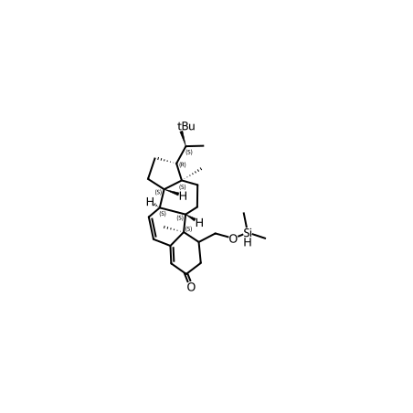 C[C@@H]([C@H]1CC[C@H]2[C@@H]3C=CC4=CC(=O)CC(CO[SiH](C)C)[C@]4(C)[C@H]3CC[C@]12C)C(C)(C)C